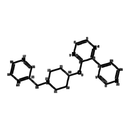 c1cc(-c2nccnc2OC2CCN(Cc3cnccn3)CC2)ccn1